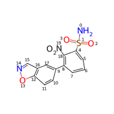 NS(=O)(=O)c1cccc(-c2ccc3oncc3c2)c1[N+](=O)[O-]